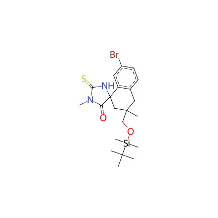 CN1C(=O)C2(CC(C)(CO[Si](C)(C)C(C)(C)C)Cc3ccc(Br)cc32)NC1=S